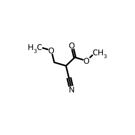 COCC(C#N)C(=O)OC